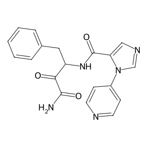 NC(=O)C(=O)C(Cc1ccccc1)NC(=O)c1cncn1-c1ccncc1